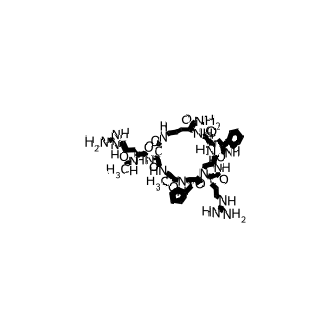 CC(=O)N[C@@H](CCCNC(=N)N)C(=O)N[C@H]1CC(=O)NCCCC(C(N)=O)NC(=O)[C@H](Cc2c[nH]c3ccccc23)NC(=O)[C@H]2CN(C(=O)[C@@H](Cc3ccccc3)NC(=O)[C@H](C)NC1=O)[C@@H](CCCNC(=N)N)C(=O)N2